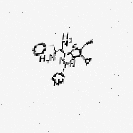 C#Cc1sc2c(C(N)C(N)Cc3ccccc3)nc(-c3ccncc3)nc2c1C1CC1